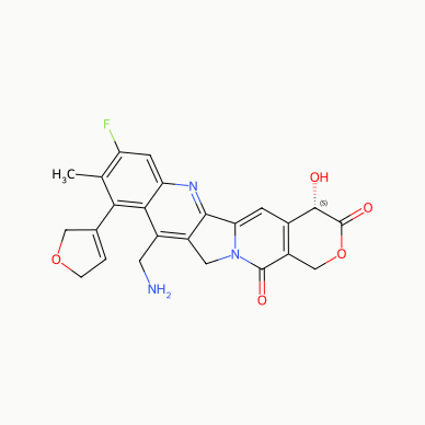 Cc1c(F)cc2nc3c(c(CN)c2c1C1=CCOC1)Cn1c-3cc2c(c1=O)COC(=O)[C@H]2O